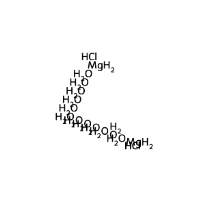 Cl.Cl.O.O.O.O.O.O.O.O.O.O.O.O.[MgH2].[MgH2]